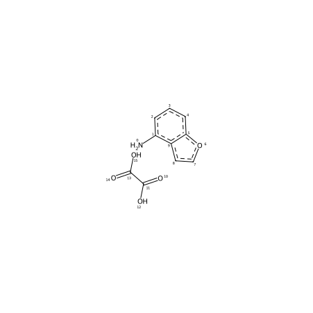 Nc1cccc2occc12.O=C(O)C(=O)O